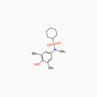 CCCCN(c1cc(C(C)(C)C)c(O)c(C(C)(C)C)c1)S(=O)(=O)C1CCCCC1